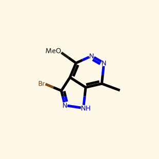 COc1nnc(C)c2[nH]nc(Br)c12